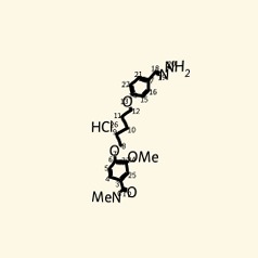 CNC(=O)c1ccc(OCCCCCOc2ccc(C=NN)cc2)c(OC)c1.Cl